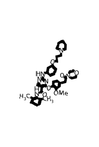 COc1cc(CC(=O)N2CCOCC2)ccc1Oc1nc(Nc2cccc(OCCCN3CCCCC3)c2)ncc1C(=O)Nc1c(C)cccc1C